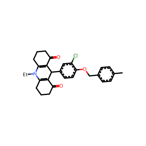 CCN1C2=C(C(=O)CCC2)C(c2ccc(OCc3ccc(C)cc3)c(Cl)c2)C2=C1CCCC2=O